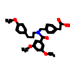 COc1ccc(CCCN(Cc2ccc(CC(=O)O)cc2)C(=O)c2cc(OC)cc(OC)c2)cc1